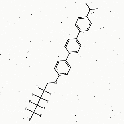 CC(C)c1ccc(-c2ccc(-c3ccc(OCC(F)(F)C(F)(F)C(F)(F)C(F)(F)F)cc3)cc2)cc1